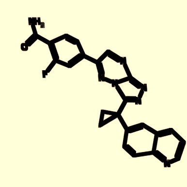 NC(=O)c1ccc(-c2cnc3nnc(C4(c5ccc6ncccc6c5)CC4)n3n2)cc1F